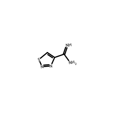 N=C(N)c1csnn1